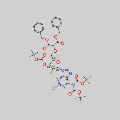 CC(C)(C)OC(=O)O[C@H]1[C@H](F)[C@H](n2cnc3c(N(C(=O)OC(C)(C)C)C(=O)OC(C)(C)C)nc(Cl)nc32)O[C@@H]1COC(C(=O)OCc1ccccc1)C(=O)OCc1ccccc1